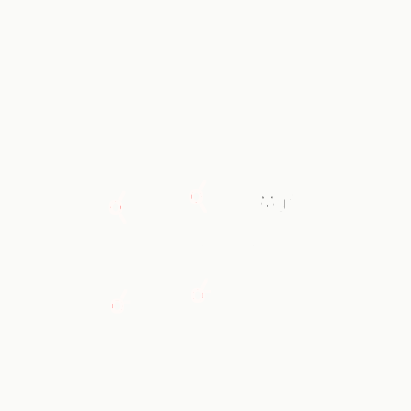 CCCCOc1cccc([O-])c1.CCCCOc1cccc([O-])c1.[Mg+2]